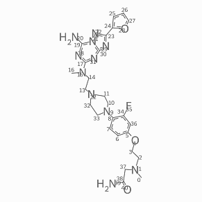 CN(CCOc1ccc(N2CCN(CCN(C)c3nc(N)n4nc(-c5ccco5)nc4n3)CC2)c(F)c1)CC(N)=O